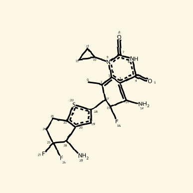 CC1=c2c(c(=O)[nH]c(=O)n2C2CC2)=C(N)C(F)C1c1cc2c(s1)CCC(F)(F)C2N